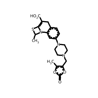 Cc1oc(=O)oc1CN1CCN(c2ccc3c(c2)N2C(=C(C(=O)O)C3)SC2C)CC1